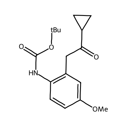 COc1ccc(NC(=O)OC(C)(C)C)c(CC(=O)C2CC2)c1